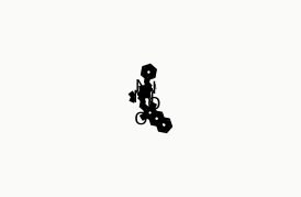 CC(C)n1c(C=C2C(=O)c3cc4ccccc4cc3C2=O)nc2c1nc(-c1ccccc1)n2C